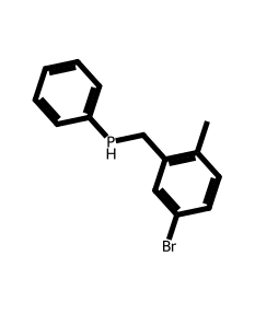 Cc1ccc(Br)cc1CPc1ccccc1